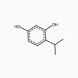 CC(C)c1ccc(O)[c]c1O